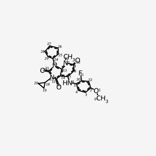 COc1ccc(Nc2cc(=O)n(C)c3c2c(=O)n(C2CC2)c(=O)n3-c2ccccc2)c(F)c1